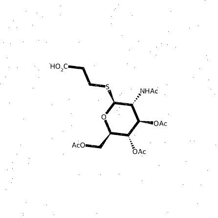 CC(=O)N[C@@H]1[C@@H](OC(C)=O)[C@H](OC(C)=O)[C@@H](COC(C)=O)O[C@H]1SCCC(=O)O